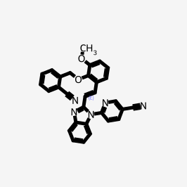 COc1cccc(/C=C/c2nc3ccccc3n2-c2ccc(C#N)cn2)c1OCc1ccccc1C#N